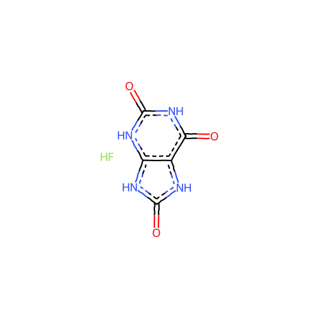 F.O=c1[nH]c(=O)c2[nH]c(=O)[nH]c2[nH]1